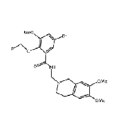 COc1cc2c(cc1OC)CN(CNC(=O)c1cc(Br)cc(OC)c1OCF)CC2